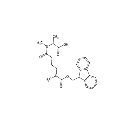 CC(C(=O)O)N(C)C(=O)CCCN(C)C(=O)OCC1c2ccccc2-c2ccccc21